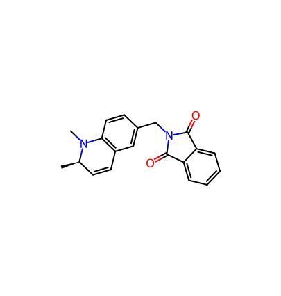 C[C@@H]1C=Cc2cc(CN3C(=O)c4ccccc4C3=O)ccc2N1C